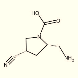 N#C[C@H]1C[C@@H](CN)N(C(=O)O)C1